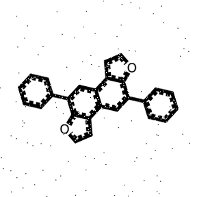 c1ccc(-c2cc3c4ccoc4c(-c4ccccc4)cc3c3ccoc23)cc1